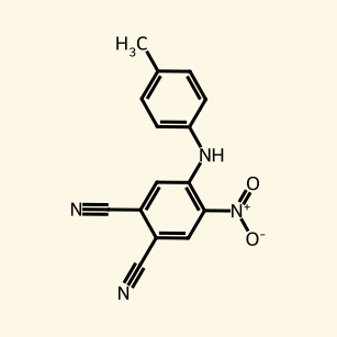 Cc1ccc(Nc2cc(C#N)c(C#N)cc2[N+](=O)[O-])cc1